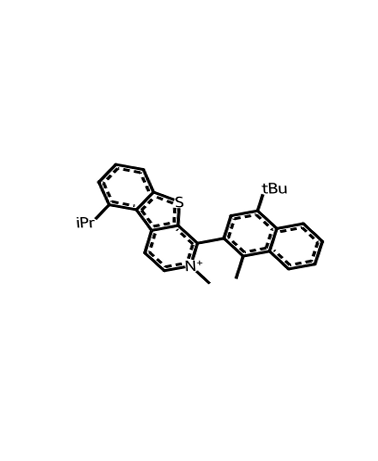 Cc1c(-c2c3sc4cccc(C(C)C)c4c3cc[n+]2C)cc(C(C)(C)C)c2ccccc12